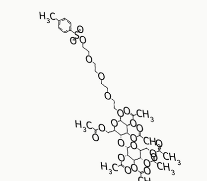 CC(=O)OCC1O[C@@H](OCCOCCOCCOCCOS(=O)(=O)c2ccc(C)cc2)[C@@H](OC(C)=O)C(OC(C)=O)[C@@H]1O[C@@H]1OC(COC(C)=O)[C@H](OC(C)=O)C(OC(C)=O)[C@@H]1OC(C)=O